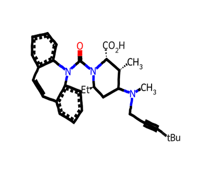 CC[C@H]1CC(N(C)CC#CC(C)(C)C)[C@@H](C)[C@@H](C(=O)O)N1C(=O)N1c2ccccc2C=Cc2ccccc21